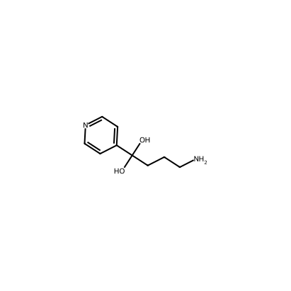 NCCCC(O)(O)c1ccncc1